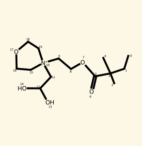 CCC(C)(C)C(=O)OCC[N+]1(CC(O)O)CCOCC1